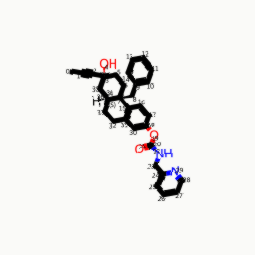 CC#C[C@@]1(O)CC[C@]2(Cc3ccccc3)c3ccc(OC(=O)NCc4ccccn4)cc3CC[C@H]2C1